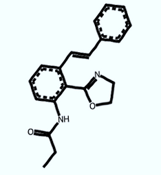 CCC(=O)Nc1cccc(C=Cc2ccccc2)c1C1=NCCO1